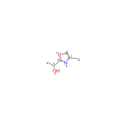 Cc1coc(C(C)O)n1